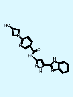 O=C(Nc1cc(-c2nc3ccccc3[nH]2)[nH]n1)c1ccc(N2CC(O)C2)nc1